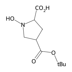 CC(C)(C)OC(=O)C1CC(C(=O)O)N(O)C1